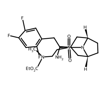 CCOC(=O)N(C)CCS(=O)(=O)N1[C@@H]2CC[C@H]1C[C@H](C(N)Cc1cc(F)c(F)cc1F)C2